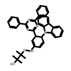 CC(C)(O)C(C)(C)OBC1=CC(c2nc(-c3ccccc3)nc(-c3ccccc3)n2)C(n2c3ccccc3c3ccccc32)C=C1